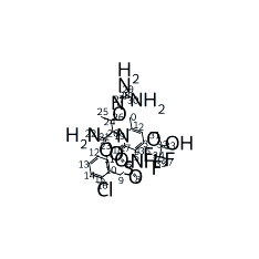 Cc1ccc(NS(=O)(=O)Cc2ccccc2Cl)c(=O)n1C(C(N)=O)C(C)ON=C(N)N.O=C(O)C(F)(F)F